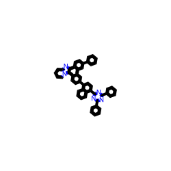 c1ccc(-c2ccc3c(c2)c2cc(-c4ccc(-c5nc(-c6ccccc6)nc(-c6ccccc6)n5)c5ccccc45)ccc2c2c3nc3ccccn32)cc1